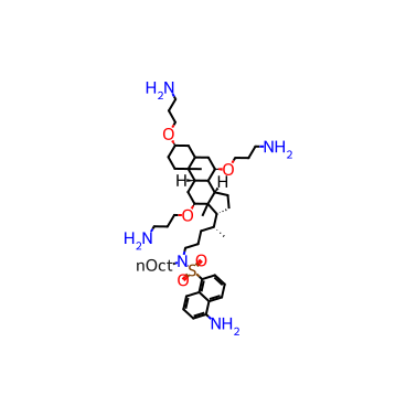 CCCCCCCCN(CCC[C@@H](C)[C@H]1CC[C@H]2C3[C@H](OCCCN)CC4C[C@H](OCCCN)CCC4(C)[C@H]3C[C@H](OCCCN)C12C)S(=O)(=O)c1cccc2c(N)cccc12